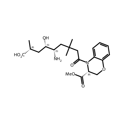 COC(=O)[C@H]1COc2ccccc2N1C(=O)CC(C)(C)C[C@H](N)[C@@H](O)C[C@@H](C)C(=O)O